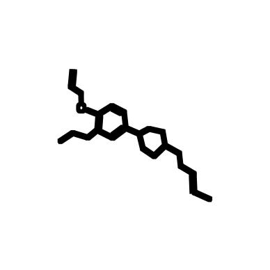 C=CCOc1ccc(C2CCC(CC/C=C/C)CC2)cc1CCC